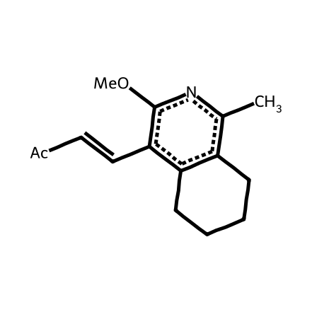 COc1nc(C)c2c(c1/C=C/C(C)=O)CCCC2